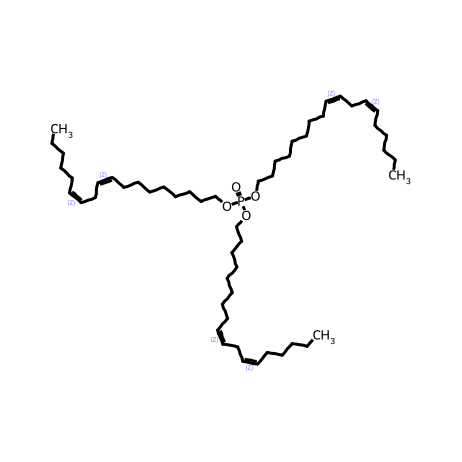 CCCCC/C=C\C/C=C\CCCCCCCCOP(=O)(OCCCCCCCC/C=C\C/C=C\CCCCC)OCCCCCCCC/C=C\C/C=C\CCCCC